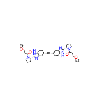 CCOCCC(=O)N1CCC[C@H]1c1nc2cc(C#Cc3ccc4[nH]c([C@@H]5CCCN5C(=O)CCOCC)nc4c3)ccc2[nH]1